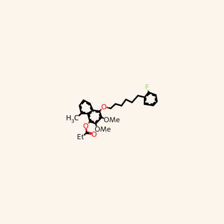 CCC(=O)Oc1c(OC)c(OC)c(OCCCCCCc2ccccc2F)c2cccc(C)c12